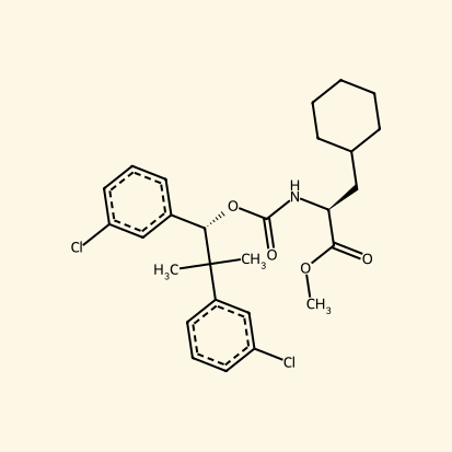 COC(=O)[C@H](CC1CCCCC1)NC(=O)O[C@@H](c1cccc(Cl)c1)C(C)(C)c1cccc(Cl)c1